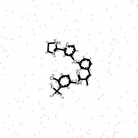 CC(=Cc1cccc(Oc2ccnc(C3=NCCN3)c2)c1)C(=O)Nc1ccc(Cl)c(C(F)(F)F)c1